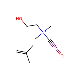 C=C(C)C.C[N+](C)(C#P=O)CCO